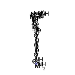 N=C/C(=C\N)C(=O)NCCOCCOCCOCCOCCOCCC(=O)N1CCc2cc(Cn3nc(-c4cnc5[nH]ccc5c4)c4c(N)ncnc43)ccc2C1